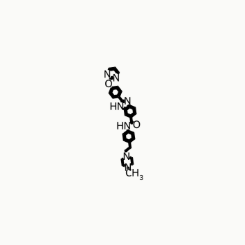 CN1CCN(CCc2ccc(NC(=O)c3ccc4nc(-c5ccc(Oc6ncccn6)cc5)[nH]c4c3)cc2)CC1